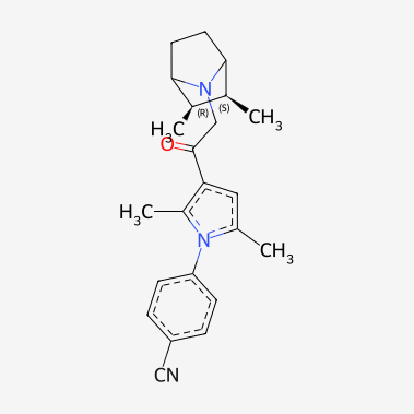 Cc1cc(C(=O)CN2C3CCC2[C@H](C)[C@@H]3C)c(C)n1-c1ccc(C#N)cc1